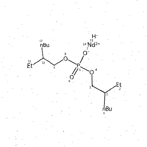 CCCCC(CC)COP(=O)([O-])OCC(CC)CCCC.[H-].[Nd+2]